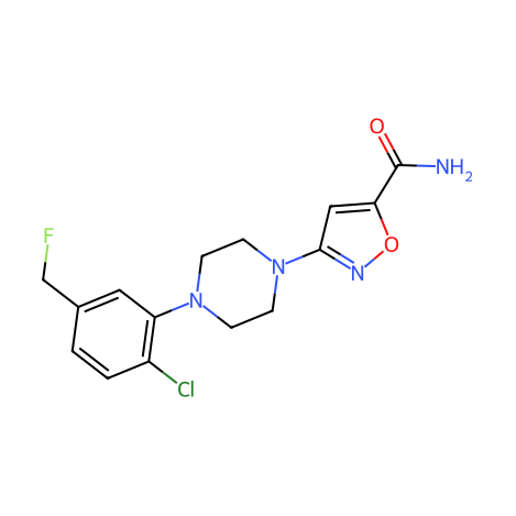 NC(=O)c1cc(N2CCN(c3cc(CF)ccc3Cl)CC2)no1